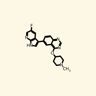 CN1CCC(Oc2ncnc3ccc(-c4c[nH]c5ncc(F)cc45)cc23)CC1